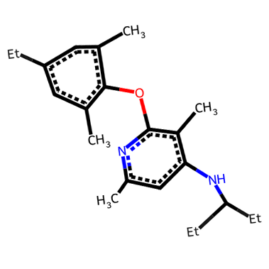 CCc1cc(C)c(Oc2nc(C)cc(NC(CC)CC)c2C)c(C)c1